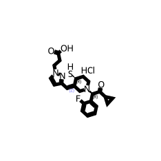 Cl.O=C(O)CCn1ccc(/C=C2/CN([C@@H](C(=O)C3CC3)c3ccccc3F)CC[C@H]2S)n1